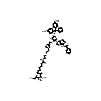 COc1ccc(C(OC[C@H]2O[C@@H](n3cnc4c(NC(=O)c5ccccc5)ncnc43)[C@H](OCc3cn(CCOCCNC(=O)CCCCOC4OC(COC(C)=O)C(OC(C)=O)C(OC(C)=O)C4C)nn3)[C@@H]2O)(c2ccccc2)c2ccc(OC)cc2)cc1